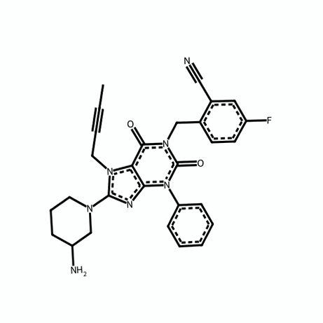 CC#CCn1c(N2CCCC(N)C2)nc2c1c(=O)n(Cc1ccc(F)cc1C#N)c(=O)n2-c1ccccc1